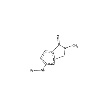 CC(C)Nc1ccc2c(c1)CN(C)C2=O